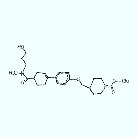 CN(CCCO)C(=O)C1CC=C(c2ccc(OCC3CCN(C(=O)OC(C)(C)C)CC3)cc2)CC1